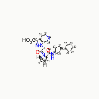 O=C(O)c1nn(CC(=O)N2[C@@H]3C[C@@H]3C[C@H]2C(=O)N[C@H]2CC[C@H](c3ccccc3)C2)c2cnccc12